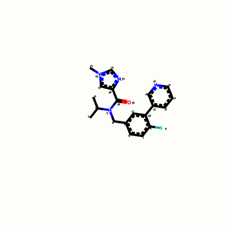 CC(C)N(Cc1ccc(F)c(-c2cccnc2)c1)C(=O)c1cn(C)cn1